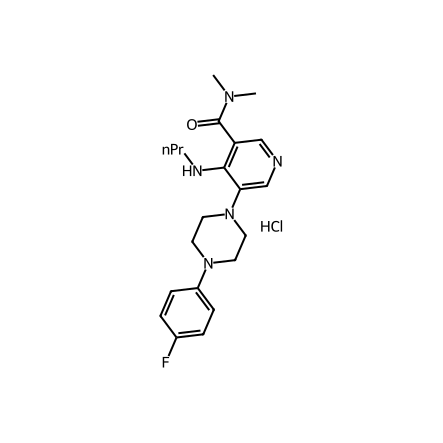 CCCNc1c(C(=O)N(C)C)cncc1N1CCN(c2ccc(F)cc2)CC1.Cl